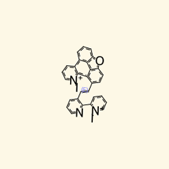 I[n+]1ccccc1-c1ncccc1/C=C/c1ccc2oc3cccc4c5ccc[n+](I)c5c1c2c34